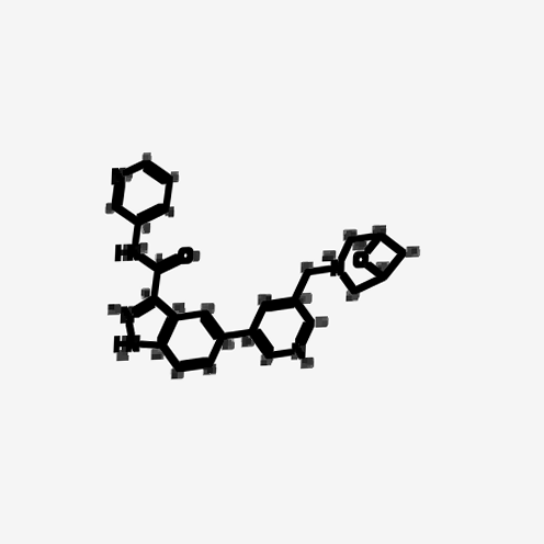 O=C(Nc1cccnc1)c1n[nH]c2ccc(-c3cncc(CN4CC5CC(C4)O5)c3)cc12